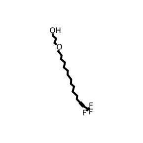 OCCCOCCCCCCCCCCCCCC#CC(F)(F)F